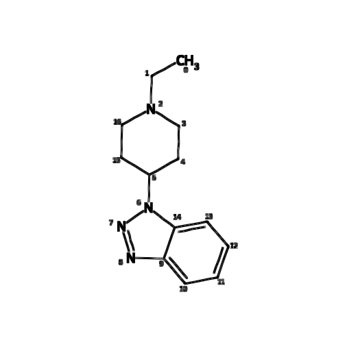 CCN1CCC(n2nnc3ccccc32)CC1